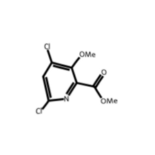 COC(=O)c1nc(Cl)cc(Cl)c1OC